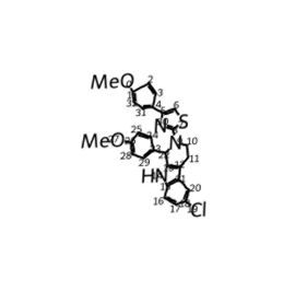 COc1ccc(-c2csc(N3CCc4c([nH]c5ccc(Cl)cc45)C3c3ccc(OC)cc3)n2)cc1